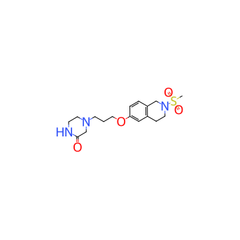 CS(=O)(=O)N1CCc2cc(OCCCN3CCNC(=O)C3)ccc2C1